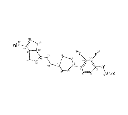 CCCCCCOc1ccc(C2CCC(CCC3CCC4C(CCC)=CCC34)CC2)c(F)c1F